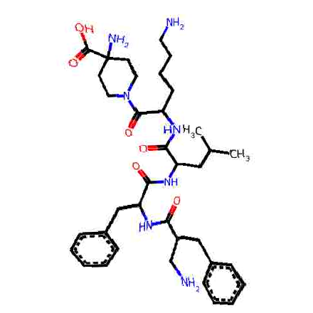 CC(C)CC(NC(=O)C(Cc1ccccc1)NC(=O)C(CN)Cc1ccccc1)C(=O)NC(CCCCN)C(=O)N1CCC(N)(C(=O)O)CC1